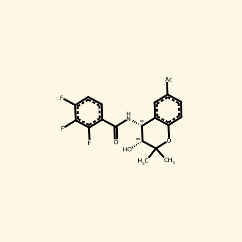 CC(=O)c1ccc2c(c1)[C@@H](NC(=O)c1ccc(F)c(F)c1F)[C@@H](O)C(C)(C)O2